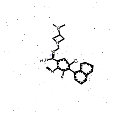 C=Nc1c(/C(N)=N\CN2CC(N(C)C)C2)cc(Cl)c(-c2cccc3ccccc23)c1F